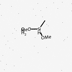 CO[SiH](C)OC.O